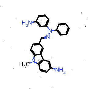 Cn1c2ccc(N)cc2c2cc(C=NN(c3ccccc3)c3cccc(N)c3)ccc21